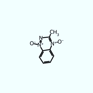 Cc1n[n+]([O-])c2ccccc2[n+]1[O-]